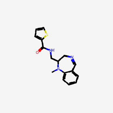 CN1c2ccccc2C=NCC1CNC(=O)c1cccs1